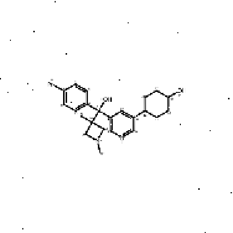 CC(C)c1ccc([C@](O)(c2cncc(C3CCC(O)CC3)c2)C2(C)CN(C)C2)cc1